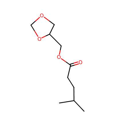 CC(C)CCC(=O)OCC1COCO1